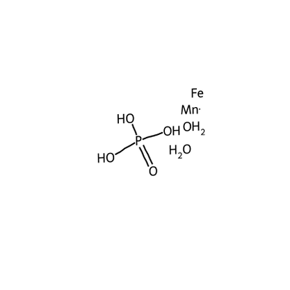 O.O.O=P(O)(O)O.[Fe].[Mn]